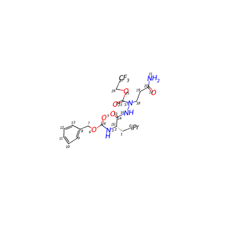 CC(C)C[C@H](NC(=O)OCc1ccccc1)C(=O)NN(CCC(N)=O)C(=O)OCC(F)(F)F